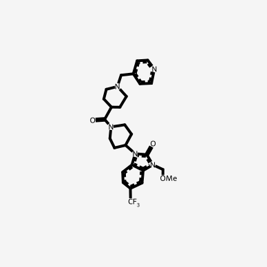 COCn1c(=O)n(C2CCN(C(=O)C3CCN(Cc4ccncc4)CC3)CC2)c2ccc(C(F)(F)F)cc21